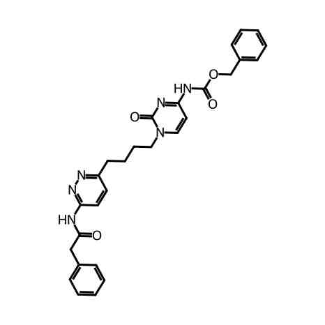 O=C(Cc1ccccc1)Nc1ccc(CCCCn2ccc(NC(=O)OCc3ccccc3)nc2=O)nn1